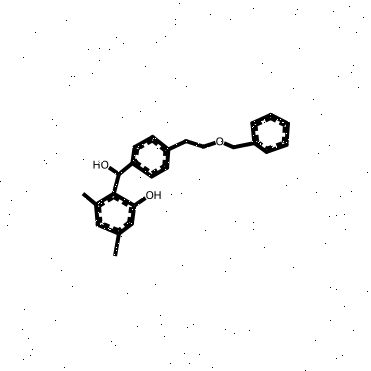 Cc1cc(C)c(C(O)c2ccc(CCOCc3ccccc3)cc2)c(O)c1